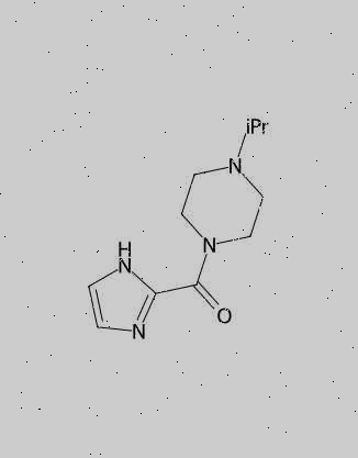 CC(C)N1CCN(C(=O)c2ncc[nH]2)CC1